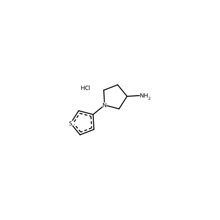 Cl.NC1CCN(c2ccsc2)C1